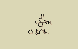 COc1cc(C(=NN)c2coc(C3=CCCC=C3)n2)cc(OC)c1OC